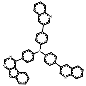 c1ccc2ncc(-c3ccc(N(c4ccc(-c5cnc6ccccc6c5)cc4)c4ccc(-c5ncnc6sc7ccccc7c56)cc4)cc3)cc2c1